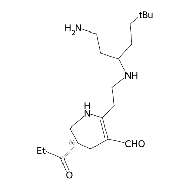 CCC(=O)[C@@H]1CNC(CCNC(CCN)CCC(C)(C)C)=C(C=O)C1